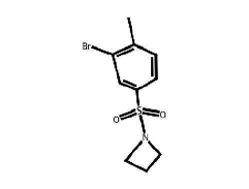 Cc1ccc(S(=O)(=O)N2CCC2)cc1Br